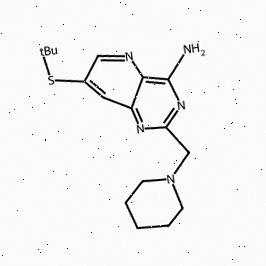 CC(C)(C)Sc1cnc2c(N)nc(CN3CCCCC3)nc2c1